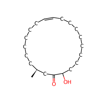 C[C@H]1CCCCCC/C=C\CCCCCCCCC(O)C(=O)C1